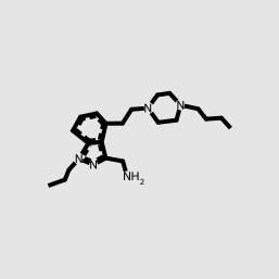 CCCCN1CCN(CCc2cccc3c2c(CN)nn3CCC)CC1